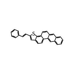 C(=C\c1cc2ccc3c4cc5ccccc5cc4ccc3c2s1)/c1ccccc1